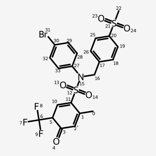 CC1=[C]C(=O)C(C(F)(F)F)C=C1S(=O)(=O)N(Cc1ccc(S(C)(=O)=O)cc1)c1ccc(Br)cc1